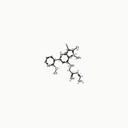 CCOc1ncccc1-c1cc(NCC(=N)/N=C\N)c2c(n1)c(C)c(CC)n2C(C)C